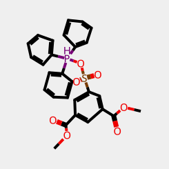 COC(=O)c1cc(C(=O)OC)cc(S(=O)(=O)O[PH](c2ccccc2)(c2ccccc2)c2ccccc2)c1